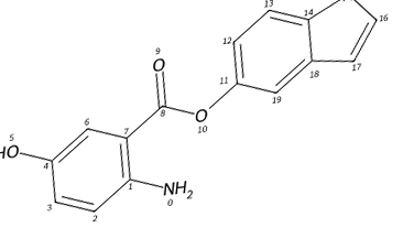 Nc1ccc(O)cc1C(=O)Oc1ccc2[nH]ccc2c1